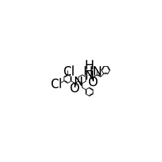 O=C(N[C@H]1CCN(C(=O)c2cc(Cl)cc(Cl)c2)[C@H](Cc2ccccc2)C1)c1cc2ccccc2[nH]1